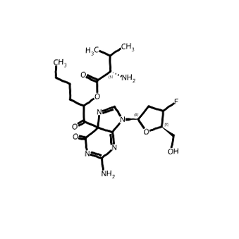 CCCCC(OC(=O)[C@@H](N)C(C)C)C(=O)C12N=CN([C@H]3CC(F)[C@@H](CO)O3)C1=NC(N)=NC2=O